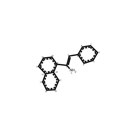 NC(=Cc1ccccc1)c1cccc2ccccc12